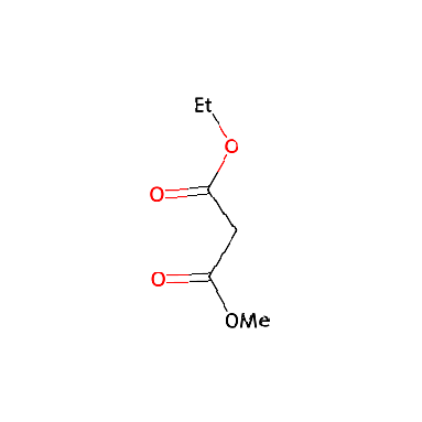 CCOC(=O)CC(=O)OC